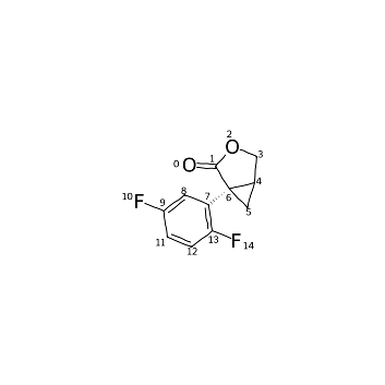 O=C1OCC2C[C@@]12c1cc(F)ccc1F